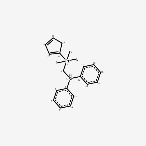 [CH3][Pt]([CH3])([CH3])([CH2][SiH](c1ccccc1)c1ccccc1)[C]1=CC=CC1